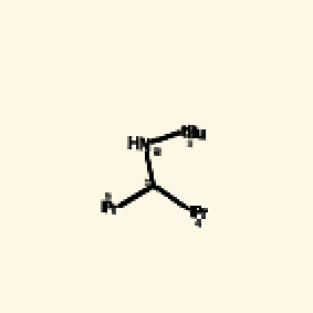 CC(C)C(NC(C)(C)C)C(C)C